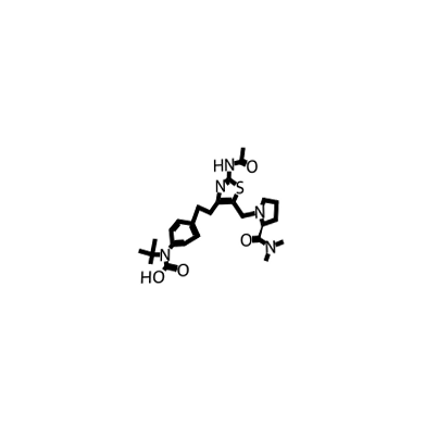 CC(=O)Nc1nc(CCc2ccc(N(C(=O)O)C(C)(C)C)cc2)c(CN2CCC[C@H]2C(=O)N(C)C)s1